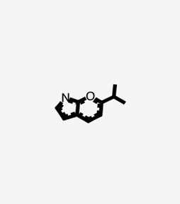 CC(C)c1ccc2ccnc-2o1